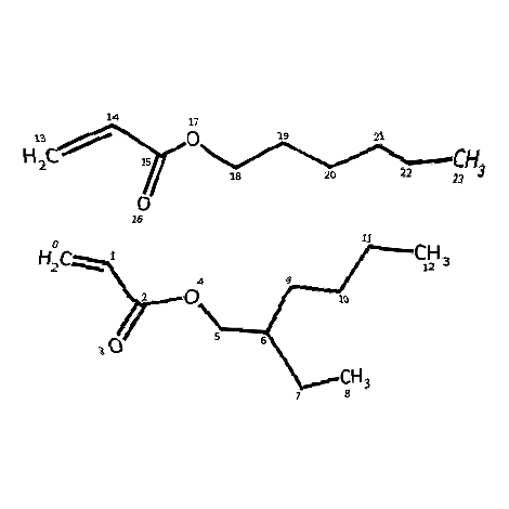 C=CC(=O)OCC(CC)CCCC.C=CC(=O)OCCCCCC